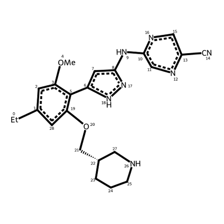 CCc1cc(OC)c(-c2cc(Nc3cnc(C#N)cn3)n[nH]2)c(OC[C@H]2CCCNC2)c1